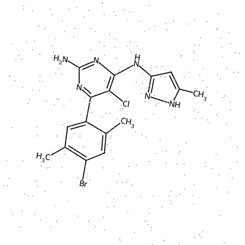 Cc1cc(Nc2nc(N)nc(-c3cc(C)c(Br)cc3C)c2Cl)n[nH]1